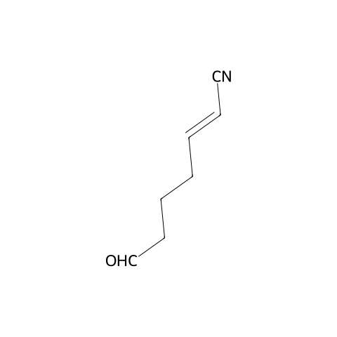 N#CC=CCCCC=O